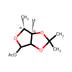 CC(=O)OC1O[C@H](C)[C@H]2OC(C)(C)OC12